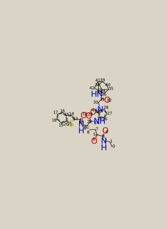 CCNC(=O)C(=O)CC[C@H](NC(=O)c1cc2ccccc2s1)C(=O)Nc1cccn(CC(=O)NC2C3CC4CC(C3)C2C4)c1=O